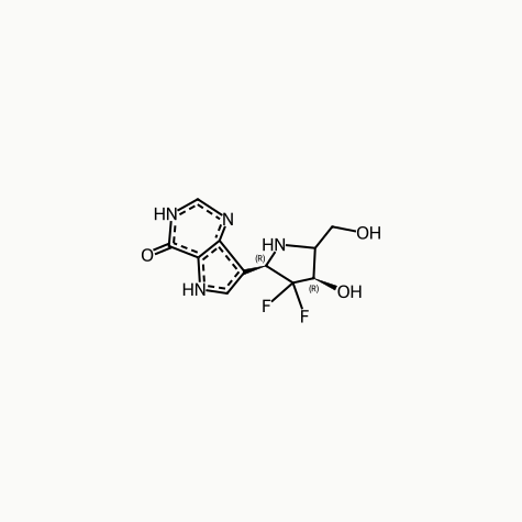 O=c1[nH]cnc2c([C@H]3NC(CO)[C@@H](O)C3(F)F)c[nH]c12